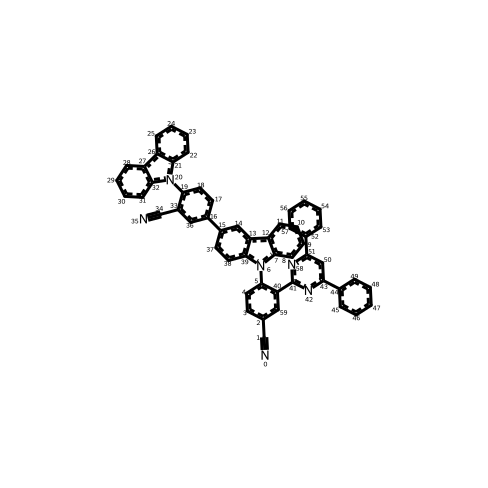 N#Cc1ccc(-n2c3ccccc3c3cc(-c4ccc(-n5c6ccccc6c6ccccc65)c(C#N)c4)ccc32)c(-c2nc(-c3ccccc3)cc(-c3ccccc3)n2)c1